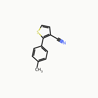 Cc1ccc(-c2sccc2C#N)cc1